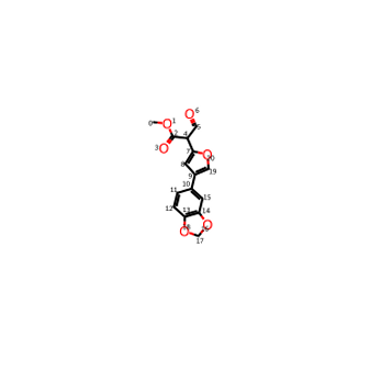 COC(=O)C(C=O)c1cc(-c2ccc3c(c2)OCO3)co1